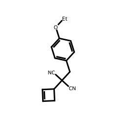 CCOc1ccc(CC(C#N)(C#N)C2C=CC2)cc1